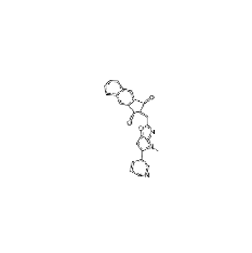 Cn1c(-c2cccnc2)cc2oc(C=C3C(=O)c4cc5ccccc5cc4C3=O)nc21